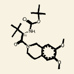 COc1cc2c(cc1OC)CN(C(=O)[C@@H](NC(=O)OC(C)(C)C)C(C)(C)C)CC2